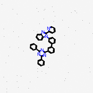 c1ccc(-c2nc(-c3ccccc3)nc(-c3cccc(-c4cccc(-n5c(-c6ccccn6)nc6ccccc65)c4)c3)n2)cc1